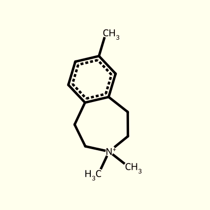 Cc1ccc2c(c1)CC[N+](C)(C)CC2